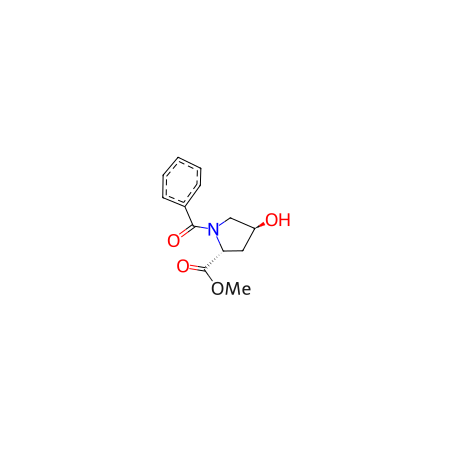 COC(=O)[C@H]1C[C@H](O)CN1C(=O)c1ccccc1